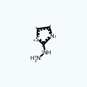 NNc1nccs1